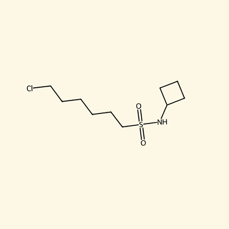 O=S(=O)(CCCCCCCl)NC1CCC1